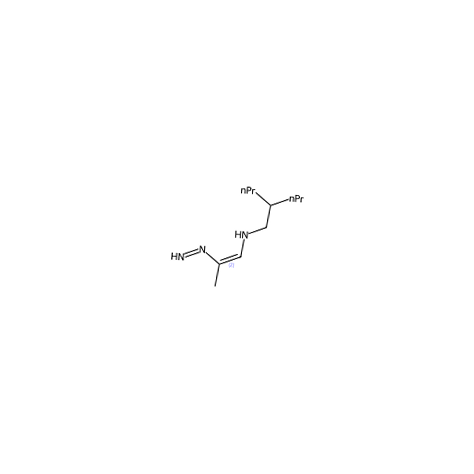 CCCC(CCC)CN/C=C(/C)N=N